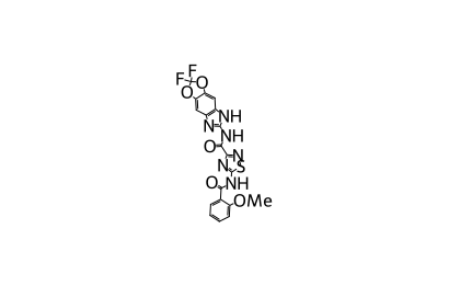 COc1ccccc1C(=O)Nc1nc(C(=O)Nc2nc3cc4c(cc3[nH]2)OC(F)(F)O4)ns1